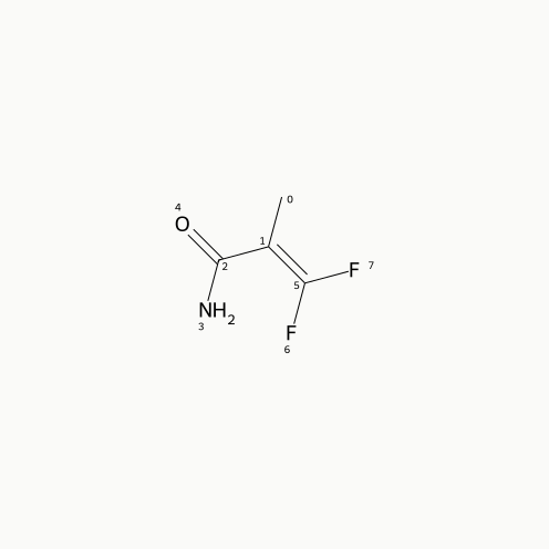 CC(C(N)=O)=C(F)F